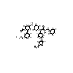 COc1cc(-c2nc(N[C@H]3CC[C@H](N(C(=O)NCc4ccccc4)c4ccc(-c5cnn(C)c5)cn4)CC3)ncc2C#N)ccn1